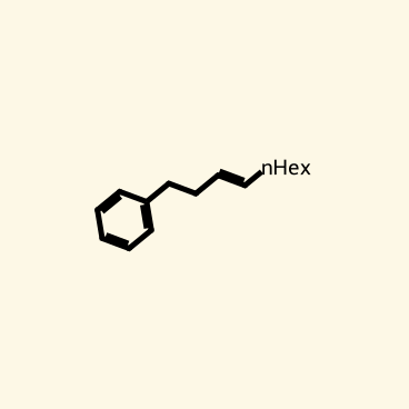 CCCCCCC=CCCc1ccccc1